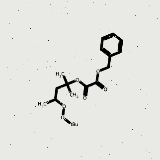 CC(CC(C)(C)OC(=O)C(=O)OCc1ccccc1)OOC(C)(C)C